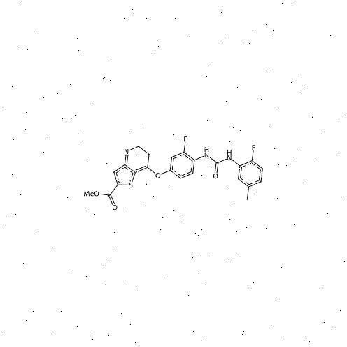 COC(=O)c1cc2c(s1)=C(Oc1ccc(NC(=O)Nc3cc(C)ccc3F)c(F)c1)CCN=2